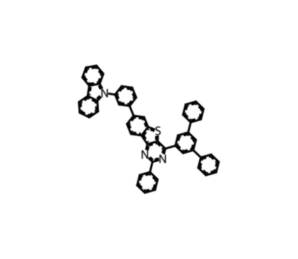 c1ccc(-c2cc(-c3ccccc3)cc(-c3nc(-c4ccccc4)nc4c3sc3cc(-c5cccc(-n6c7ccccc7c7ccccc76)c5)ccc34)c2)cc1